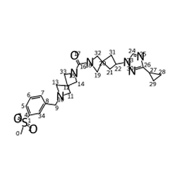 CS(=O)(=O)c1cccc(CN2CC3(C2)CN(C(=O)N2CC4(CC(n5cnc(C6CC6)n5)C4)C2)C3)c1